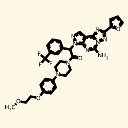 COCCOc1ccc(N2CCN(C(=O)C(c3cccc(C(F)(F)F)c3)n3ncc4c3nc(N)n3nc(-c5ccco5)nc43)CC2)cc1